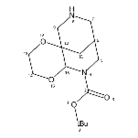 CC(C)(C)OC(=O)N1CC2CNCC3(C2)OCCOC13